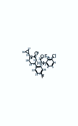 O=C(Nc1cccc(Cl)c1F)[C@H]1C(=O)N(C2CC2)CC[C@@H]1c1ccc(F)cc1